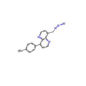 CC(C)(C)c1ccc(-c2ccnc3c(CN=[N+]=[N-])ccnc23)cc1